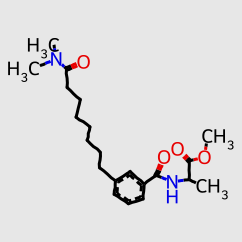 COC(=O)C(C)NC(=O)c1cccc(CCCCCCCC(=O)N(C)C)c1